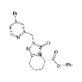 CC(C)(C)OC(=O)[C@@H]1CCCc2nn(Cc3cc(Br)ccn3)c(=O)n21